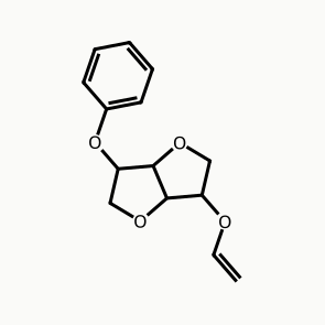 C=COC1COC2C(Oc3ccccc3)COC12